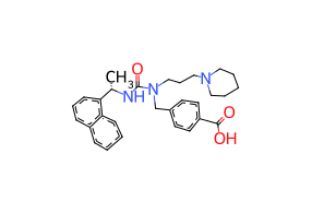 C[C@H](NC(=O)N(CCCN1CCCCC1)Cc1ccc(C(=O)O)cc1)c1cccc2ccccc12